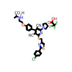 C[C@H](NCCOc1ccc(-c2c(C#N)c(SCc3csc(-c4ccc(Cl)cc4)n3)nc(N3CCCC3)c2C#N)cc1)C(=O)O.O=C(O)C(F)(F)F